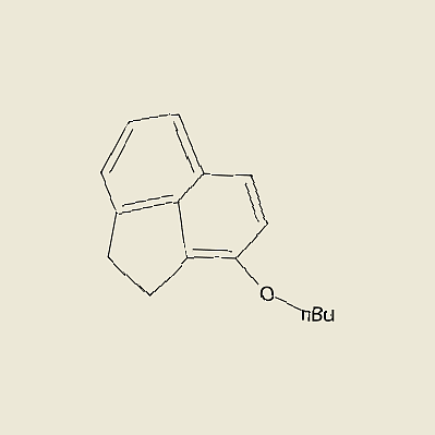 CCCCOc1ccc2cccc3c2c1CC3